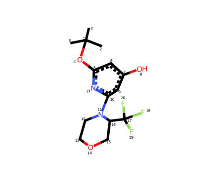 CC(C)(C)Oc1cc(O)cc(N2CCOCC2C(F)(F)F)n1